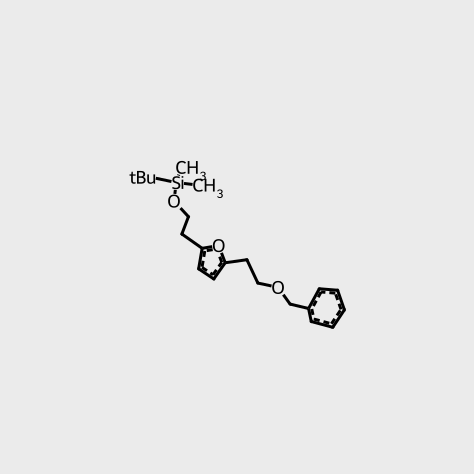 CC(C)(C)[Si](C)(C)OCCc1ccc(CCOCc2ccccc2)o1